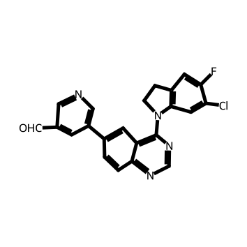 O=Cc1cncc(-c2ccc3ncnc(N4CCc5cc(F)c(Cl)cc54)c3c2)c1